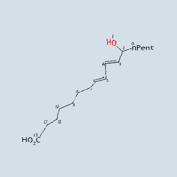 CCCCCC(O)/C=C/C=C/CCCCCCC(=O)O